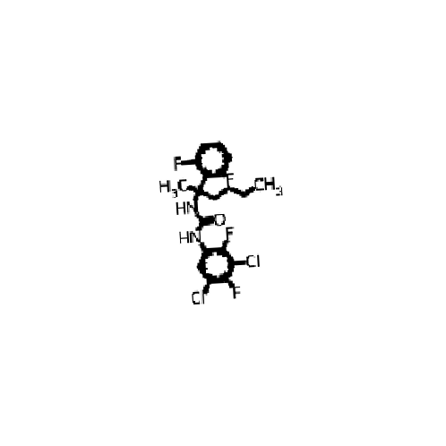 CCCCC(C)(NC(=O)Nc1cc(Cl)c(F)c(Cl)c1F)c1c(F)cccc1F